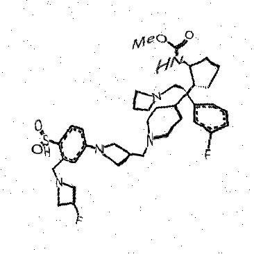 COC(=O)N[C@H]1CCC[C@@H]1[C@](CN1CCC1)(c1cccc(F)c1)C1CCN(CC2CN(c3ccc([SH](=O)=O)c(CN4CC(F)C4)c3)C2)CC1